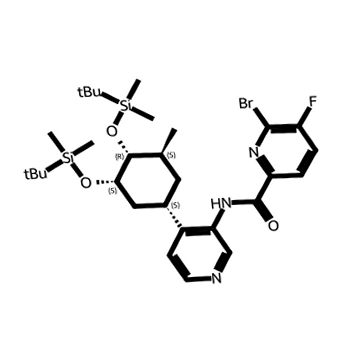 C[C@H]1C[C@H](c2ccncc2NC(=O)c2ccc(F)c(Br)n2)C[C@H](O[Si](C)(C)C(C)(C)C)[C@@H]1O[Si](C)(C)C(C)(C)C